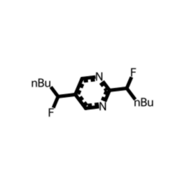 CCCCC(F)c1cnc(C(F)CCCC)nc1